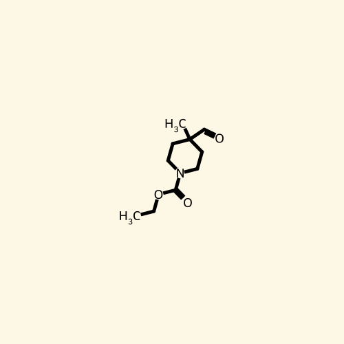 CCOC(=O)N1CCC(C)(C=O)CC1